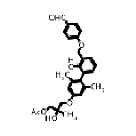 CC(=O)OCC(C)(O)COc1cc(C)c(-c2cccc(COc3ccc(C=O)cc3)c2C)c(C)c1